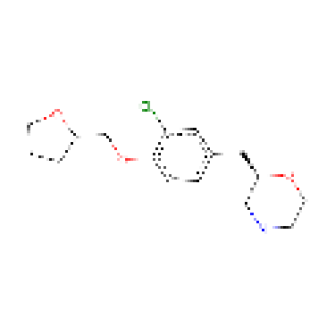 Clc1cc(C[C@@H]2CNCCO2)ccc1OCC1CCCO1